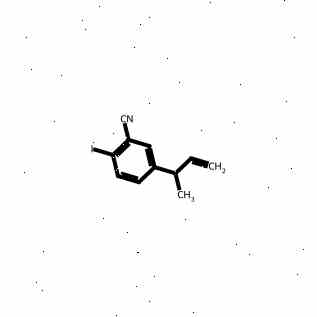 C=C[C](C)c1ccc(I)c(C#N)c1